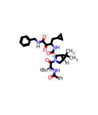 CC(C)C(=O)N[C@H](C(=O)N1C[C@H]2C([C@H]1C(=O)NC(CC1CC1)C(=O)C(=O)NCc1ccccc1)C2(C)C)C(C)(C)C